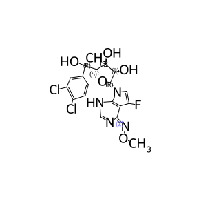 CO/N=c1\nc[nH]c2c1c(F)cn2[C@@H]1O[C@H]([C@](C)(O)c2ccc(Cl)c(Cl)c2)[C@@H](O)[C@H]1O